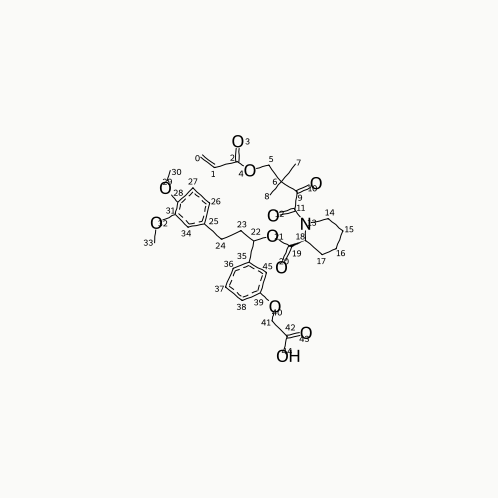 C=CC(=O)OCC(C)(C)C(=O)C(=O)N1CCCC[C@H]1C(=O)OC(CCc1ccc(OC)c(OC)c1)c1cccc(OCC(=O)O)c1